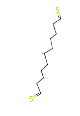 S=CCCCC[CH]CCCCC=S